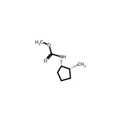 COC(=O)N[C@H]1CCC[C@H]1C